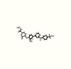 CC(C)(O)c1ccc(Nc2ncnc(-c3ccc(OC4CCN(C(=O)CO)CC4F)c(C#N)c3)n2)cn1